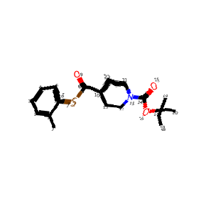 Cc1ccccc1SC(=O)C1CCN(C(=O)OC(C)(C)C)CC1